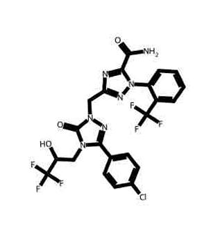 NC(=O)c1nc(Cn2nc(-c3ccc(Cl)cc3)n(CC(O)C(F)(F)F)c2=O)nn1-c1ccccc1C(F)(F)F